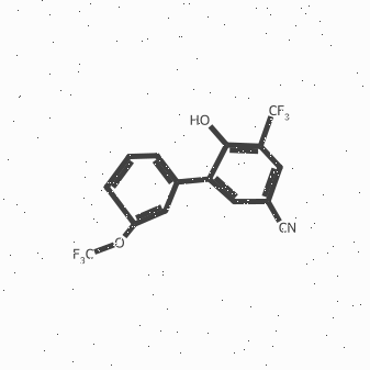 N#Cc1cc(-c2cccc(OC(F)(F)F)c2)c(O)c(C(F)(F)F)c1